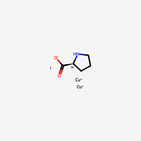 O=C([O-])[C@@H]1CCCN1.[Cu+].[Cu+].[I-]